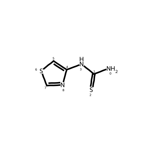 NC(=S)Nc1cscn1